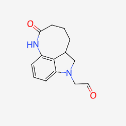 O=CCN1CC2CCCC(=O)Nc3cccc1c32